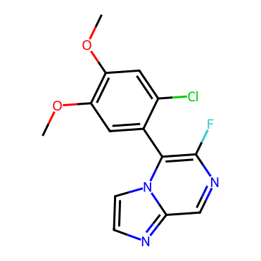 COc1cc(Cl)c(-c2c(F)ncc3nccn23)cc1OC